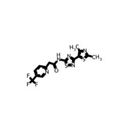 Cc1nc(C)c(-c2nsc(NC(=O)Cc3ccc(C(F)(F)F)cn3)n2)s1